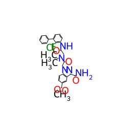 COC(=O)c1ccc2c(c1)c(C(N)=O)nn2CC(=O)N(CC(=O)Nc1cccc(-c2ccccc2Cl)c1F)C(C)C